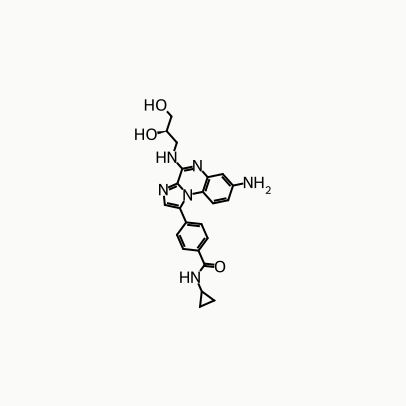 Nc1ccc2c(c1)nc(NC[C@@H](O)CO)c1ncc(-c3ccc(C(=O)NC4CC4)cc3)n12